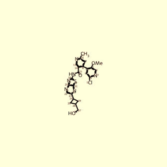 COc1cnc(Cl)cc1-c1cc(C)ncc1C(=O)Nc1nc2ncc(C3CC(CO)C3)nc2s1